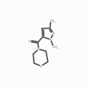 Cc1cc(C(=O)N2CCOCC2)n(C)n1